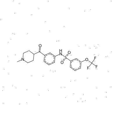 CN1CCC(C(=O)c2cccc(NS(=O)(=O)c3cccc(OC(F)(F)F)c3)c2)CC1